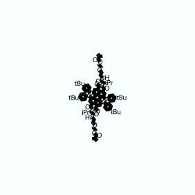 C=C(C)C(=O)OCCOCCNC(=O)C(C(C)C)N1C(=O)c2cc(Oc3ccc(C(C)(C)C)cc3)c3c4c(Oc5ccc(C(C)(C)C)cc5)cc5c6c(cc(Oc7ccc(C(C)(C)C)cc7)c(c7c(Oc8ccc(C(C)(C)C)cc8)cc(c2c37)C1=O)c64)C(=O)N(C(C(=O)NCCOCCOC(=O)C(=C)C)C(C)C)C5=O